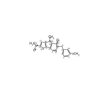 Cc1cccc(Cn2ncc3c4sc([S+](C)[O-])cc4n(C)c3c2=O)c1